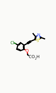 Cc1nc(C)c(C#Cc2cc(Cl)ccc2OCC(=O)O)s1